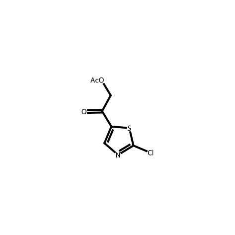 CC(=O)OCC(=O)c1cnc(Cl)s1